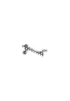 OCc1cc(F)cc(CNCCCCOCCOc2cc(-c3cnoc3)cc3[nH]ncc23)c1